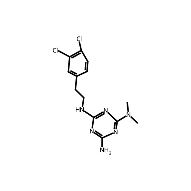 CN(C)c1nc(N)nc(NCCc2ccc(Cl)c(Cl)c2)n1